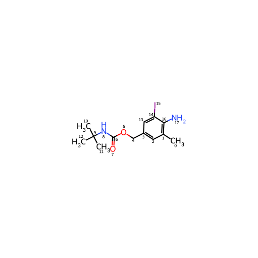 Cc1cc(COC(=O)NC(C)(C)C)cc(I)c1N